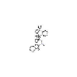 COC(=O)c1ccccc1NC(=O)/C=C(/C)c1cc2ccccc2s1